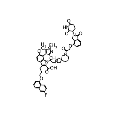 Cc1nn(C)c(C)c1-c1c(Cl)ccc2c(CCCOc3cccc4cc(F)ccc34)c(C(=O)O)n(CCN3CC4(CCCN(C(=O)COc5cccc6c5CN(C5CCC(=O)NC5=O)C6=O)C4)C3)c12